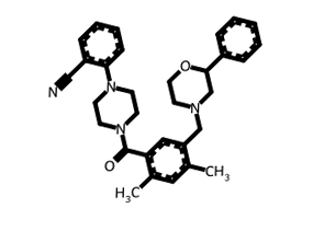 Cc1cc(C)c(C(=O)N2CCN(c3ccccc3C#N)CC2)cc1CN1CCOC(c2ccccc2)C1